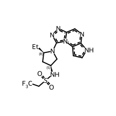 CC[C@@H]1C[C@H](NS(=O)(=O)CC(F)(F)F)CN1c1nnc2cnc3[nH]ccc3n12